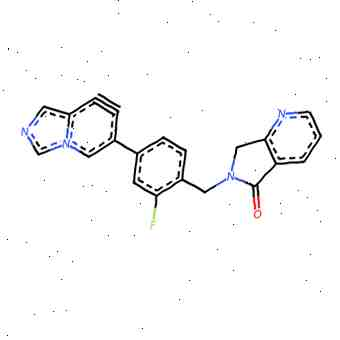 O=C1c2cccnc2CN1Cc1ccc(-c2c#cc3cncn3c2)cc1F